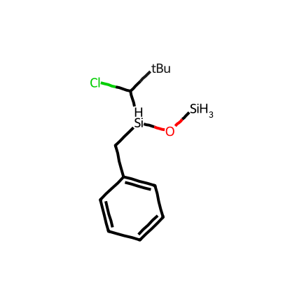 CC(C)(C)C(Cl)[SiH](Cc1ccccc1)O[SiH3]